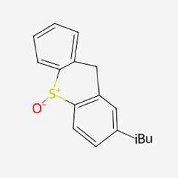 CCC(C)c1ccc2c(c1)Cc1ccccc1[S+]2[O-]